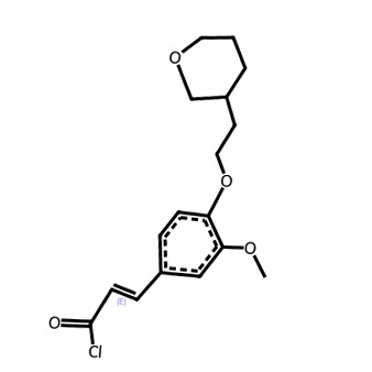 COc1cc(/C=C/C(=O)Cl)ccc1OCCC1CCCOC1